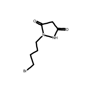 O=C1CC(=O)N(CCCCBr)N1